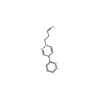 C=CCCN1C=CC(c2cccnn2)C=N1